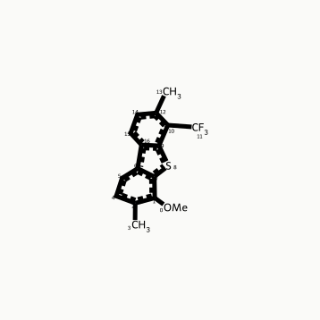 COc1c(C)ccc2c1sc1c(C(F)(F)F)c(C)ccc12